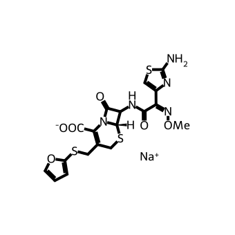 CO/N=C(\C(=O)NC1C(=O)N2C(C(=O)[O-])=C(CSc3ccco3)CS[C@@H]12)c1csc(N)n1.[Na+]